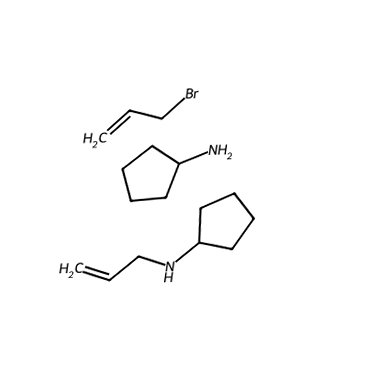 C=CCBr.C=CCNC1CCCC1.NC1CCCC1